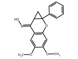 COc1cc2c(cc1OC)C(=NO)C1CC1(c1ccccc1)O2